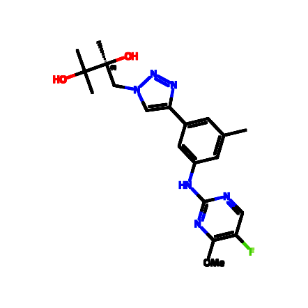 COc1nc(Nc2cc(C)cc(-c3cn(C[C@](C)(O)C(C)(C)O)nn3)c2)ncc1F